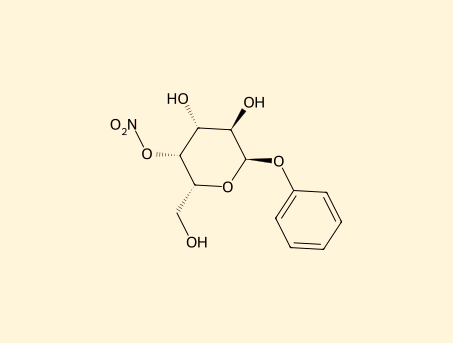 O=[N+]([O-])O[C@@H]1[C@H](O)[C@@H](O)[C@@H](Oc2ccccc2)O[C@@H]1CO